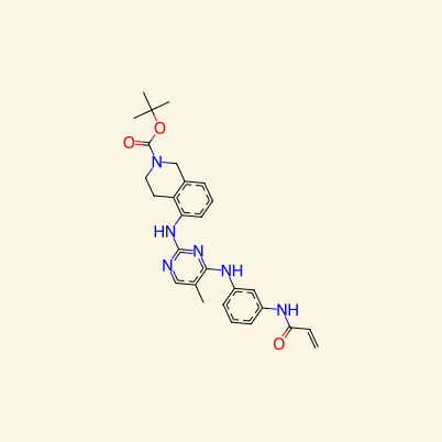 C=CC(=O)Nc1cccc(Nc2nc(Nc3cccc4c3CCN(C(=O)OC(C)(C)C)C4)ncc2C)c1